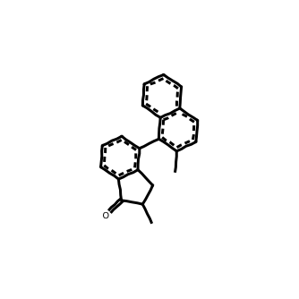 Cc1ccc2ccccc2c1-c1cccc2c1CC(C)C2=O